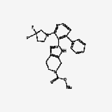 CCCCOC(=O)N1CCc2nc(-c3c(-c4ccccc4)ccnc3N3CCC(F)(F)C3)[nH]c2C1